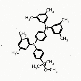 CO[Si](C)(C)c1ccc(N(c2ccc(N(c3cc(C)cc(C)c3)c3cc(C)cc(C)c3)cc2)c2cc(C)cc(C)c2)cc1